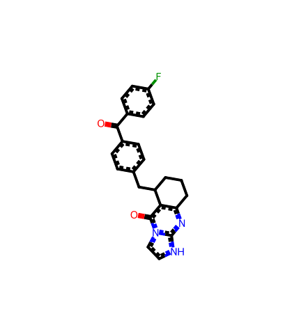 O=C(c1ccc(F)cc1)c1ccc(CC2CCCc3nc4[nH]ccn4c(=O)c32)cc1